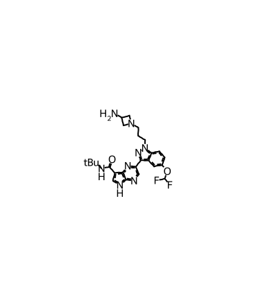 CC(C)(C)NC(=O)c1c[nH]c2ncc(-c3nn(CCCN4CC(N)C4)c4ccc(OC(F)F)cc34)nc12